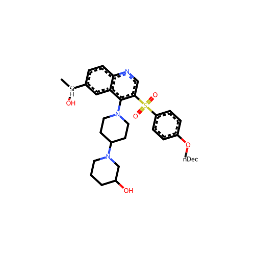 CCCCCCCCCCOc1ccc(S(=O)(=O)c2cnc3ccc([SiH](C)O)cc3c2N2CCC(N3CCCC(O)C3)CC2)cc1